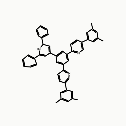 Cc1cc(C)cc(-c2ccc(-c3cc(C4=CC(c5ccccc5)NC(c5ccccc5)=C4)cc(-c4ccc(-c5cc(C)cc(C)c5)cn4)c3)nc2)c1